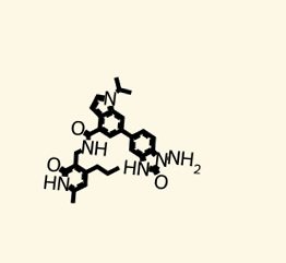 CCCc1cc(C)[nH]c(=O)c1CNC(=O)c1cc(-c2ccc3c(c2)[nH]c(=O)n3N)cc2c1ccn2C(C)C